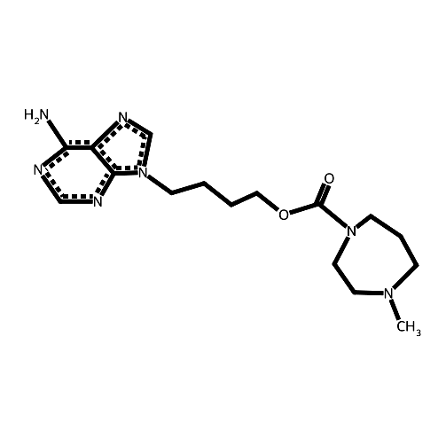 CN1CCCN(C(=O)OCCCCn2cnc3c(N)ncnc32)CC1